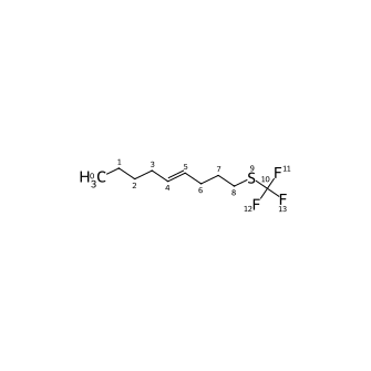 CCCCC=CCCCSC(F)(F)F